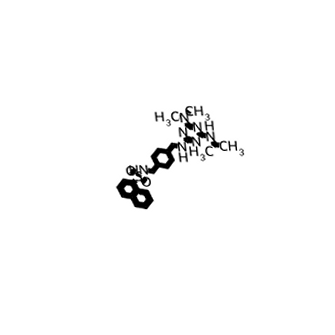 CC(C)Nc1nc(NCC2CCC(CNS(=O)(=O)c3cccc4ccccc34)CC2)nc(N(C)C)n1